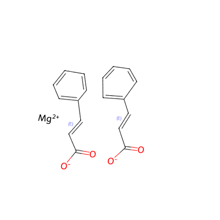 O=C([O-])/C=C/c1ccccc1.O=C([O-])/C=C/c1ccccc1.[Mg+2]